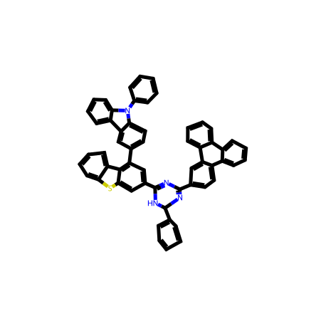 c1ccc(C2N=C(c3ccc4c5ccccc5c5ccccc5c4c3)N=C(c3cc(-c4ccc5c(c4)c4ccccc4n5-c4ccccc4)c4c(c3)sc3ccccc34)N2)cc1